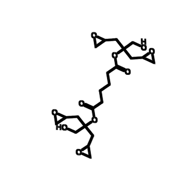 O=C(CCCCC(=O)OC(CO)(CC1CO1)CC1CO1)OC(CO)(CC1CO1)CC1CO1